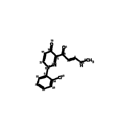 CNC=CC(=O)c1nn(-c2ccccc2Cl)ccc1=O